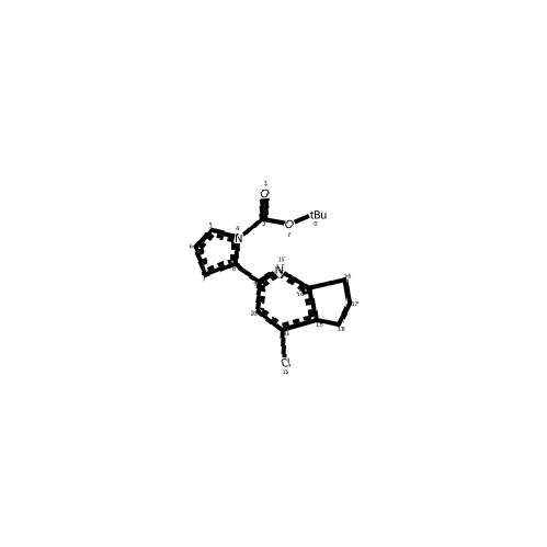 CC(C)(C)OC(=O)n1cccc1-c1cc(Cl)c2c(n1)CCC2